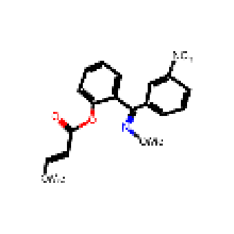 COC=CC(=O)Oc1ccccc1C(=NOC)c1cccc([N+](=O)[O-])c1